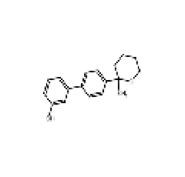 Oc1cccc(-c2ccc(C3([SiH3])CCCCO3)cc2)c1